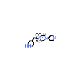 CC(=O)C(CC1CCNCC1)(C(=O)O)N1CCN(c2ccncc2)CC1